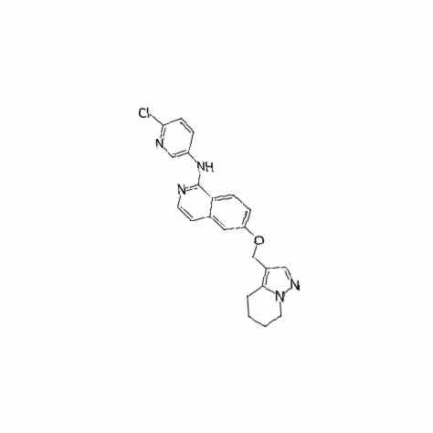 Clc1ccc(Nc2nccc3cc(OCc4cnn5c4CCCC5)ccc23)cn1